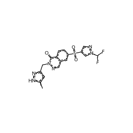 Cc1cc(Cn2ncc3cc(S(=O)(=O)c4cnn(C(F)F)c4)ccc3c2=O)n[nH]1